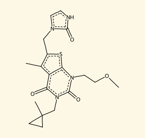 COCCn1c(=O)n(CC2(C)CC2)c(=O)c2c(C)c(Cn3cc[nH]c3=O)sc21